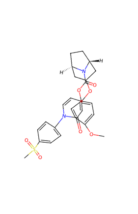 COc1ccc(OC(=O)N2[C@@H]3CC[C@@H]2CC(Oc2ccn(-c4ccc(S(C)(=O)=O)cc4)c(=O)c2)C3)cc1